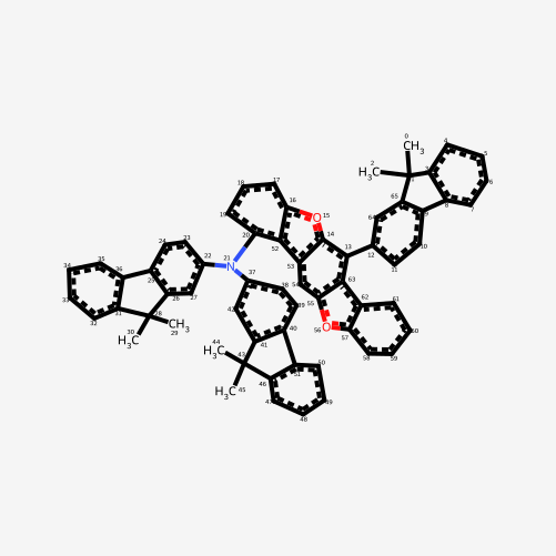 CC1(C)c2ccccc2-c2ccc(-c3c4oc5cccc(N(c6ccc7c(c6)C(C)(C)c6ccccc6-7)c6ccc7c(c6)C(C)(C)c6ccccc6-7)c5c4cc4oc5ccccc5c34)cc21